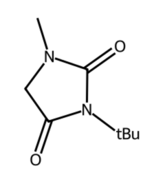 CN1CC(=O)N(C(C)(C)C)C1=O